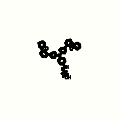 CC(C)(O)C(C)(C)OBc1ccc(N(c2ccc(-c3cccc4c3oc3ccccc34)cc2)c2ccc(-c3cccc4c3oc3ccccc34)cc2)cc1